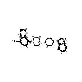 Fc1ccc(N2CCN([C@H]3CC[C@@H](c4coc5ccccc54)CC3)CC2)c2ncccc12